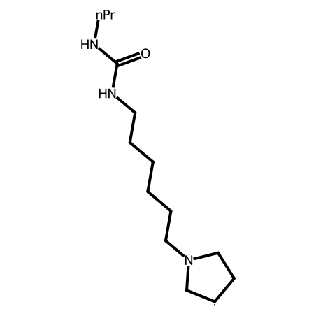 CCCNC(=O)NCCCCCCN1C[CH]CC1